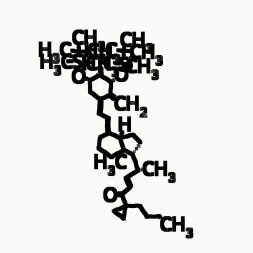 C=C1/C(=C\C=C2/CCC[C@]3(C)[C@@H]([C@H](C)/C=C/C(=O)C4(CCCC)CC4)CC[C@@H]23)C[C@@H](O[Si](C)(C)C(C)(C)C)C[C@@H]1O[Si](C)(C)C(C)(C)C